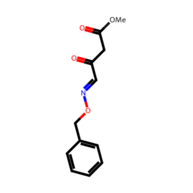 COC(=O)CC(=O)C=NOCc1ccccc1